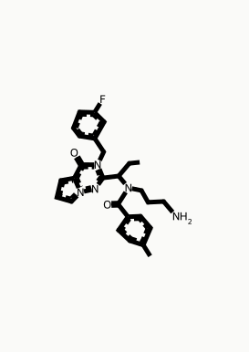 CCC(c1nn2cccc2c(=O)n1Cc1cccc(F)c1)N(CCCN)C(=O)c1ccc(C)cc1